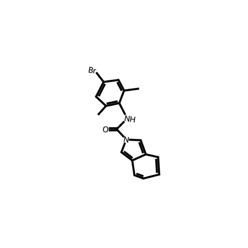 Cc1cc(Br)cc(C)c1NC(=O)n1cc2ccccc2c1